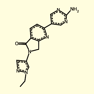 CCn1cc(N2Cc3nc(-c4cnc(N)nc4)ccc3C2=O)cn1